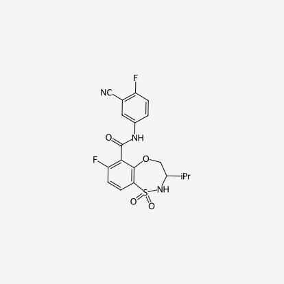 CC(C)C1COc2c(ccc(F)c2C(=O)Nc2ccc(F)c(C#N)c2)S(=O)(=O)N1